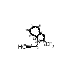 C#CCn1c(C(F)(F)F)[c]c2ccccc21